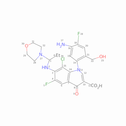 CCC(Nc1c(F)cc2c(=O)c(C(=O)O)cn(-c3cc(N)c(F)cc3CO)c2c1Cl)N1CCOCC1